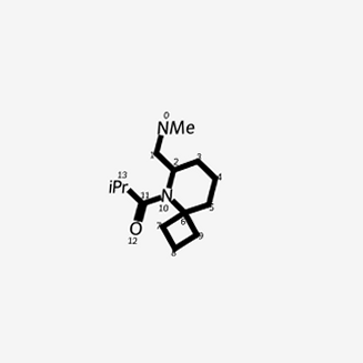 CNCC1CCCC2(CCC2)N1C(=O)C(C)C